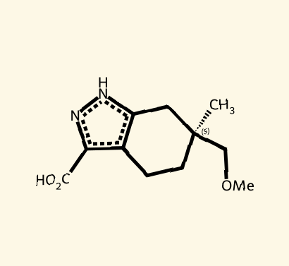 COC[C@@]1(C)CCc2c(C(=O)O)n[nH]c2C1